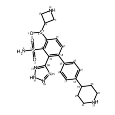 NS(=O)(=O)c1c([S+]([O-])C2CNC2)ccc(-c2ccc(C3CCNCC3)cc2)c1-c1nn[nH]n1